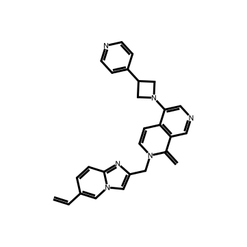 C=Cc1ccc2nc(CN3C=Cc4c(cncc4N4CC(c5ccncc5)C4)C3=C)cn2c1